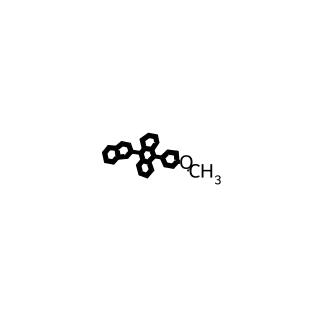 CCOc1ccc(-c2c3ccccc3c(-c3ccc4ccccc4c3)c3ccccc23)cc1